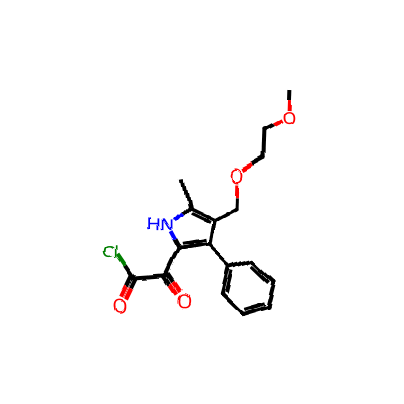 COCCOCc1c(C)[nH]c(C(=O)C(=O)Cl)c1-c1ccccc1